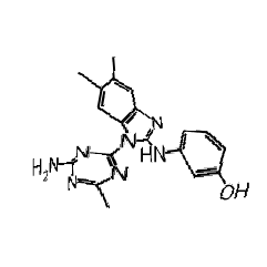 Cc1nc(N)nc(-n2c(Nc3cccc(O)c3)nc3cc(C)c(C)cc32)n1